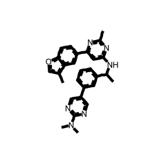 Cc1nc(NC(C)c2cccc(-c3cnc(N(C)C)nc3)c2)cc(-c2ccc3occ(C)c3c2)n1